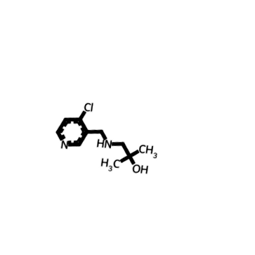 CC(C)(O)CNCc1cnccc1Cl